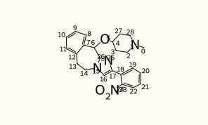 CN1CCC(OC2c3ccccc3CCn3cc(-c4ccccc4[N+](=O)[O-])nc32)CC1